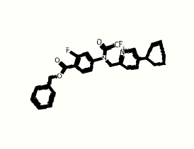 O=C(OCc1ccccc1)c1ccc(N(Cc2ccc(C3CCCCC3)cn2)C(=O)C(F)(F)F)cc1F